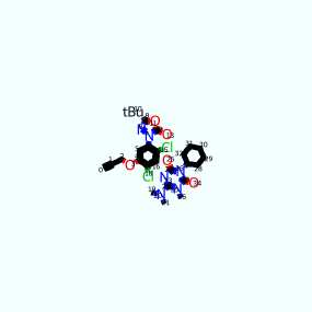 C#CCOc1cc(-n2nc(C(C)(C)C)oc2=O)c(Cl)cc1Cl.CN(C)c1nc(=O)n(C2CCCCC2)c(=O)n1C